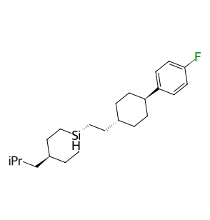 CC(C)C[C@H]1CC[Si@H](CC[C@H]2CC[C@H](c3ccc(F)cc3)CC2)CC1